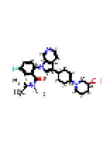 CC(C)N(C)C(=O)c1cc(F)ccc1-n1cc(C2CCC(N3CCCC(O)C3)CC2)c2ccncc21